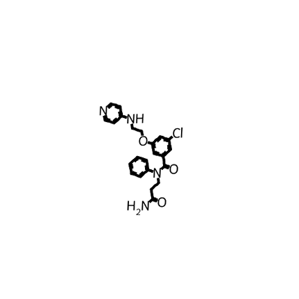 NC(=O)CCN(C(=O)c1cc(Cl)cc(OCCNc2ccncc2)c1)c1ccccc1